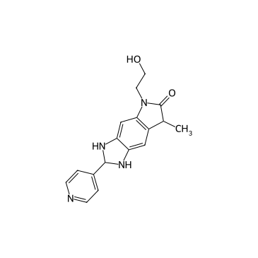 CC1C(=O)N(CCO)c2cc3c(cc21)NC(c1ccncc1)N3